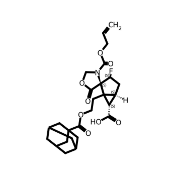 C=CCOC(=O)N1COC(=O)[C@@]12[C@@H](F)C[C@H]1[C@H](C(=O)O)C12CCOC(=O)C12CC3CC(CC(C3)C1)C2